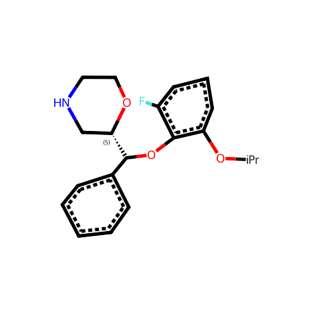 CC(C)Oc1cccc(F)c1OC(c1ccccc1)[C@@H]1CNCCO1